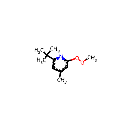 COOc1cc(C)cc(C(C)(C)C)n1